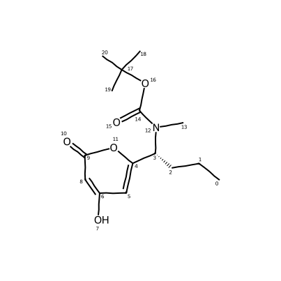 CCC[C@H](c1cc(O)cc(=O)o1)N(C)C(=O)OC(C)(C)C